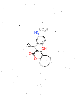 O=C(O)Nc1cccc(C(c2c(O)c3c(oc2=O)CCCCCC3)C2CC2)c1